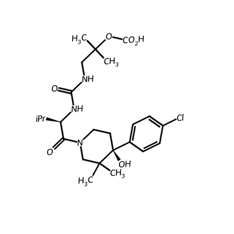 CC(C)[C@@H](NC(=O)NCC(C)(C)OC(=O)O)C(=O)N1CC[C@](O)(c2ccc(Cl)cc2)C(C)(C)C1